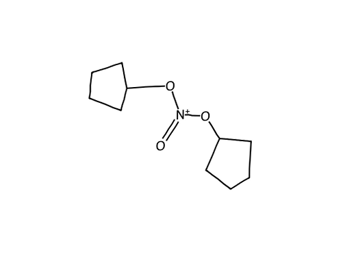 O=[N+](OC1CCCC1)OC1CCCC1